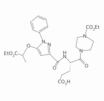 CCOC(=O)C(C)Oc1cc(C(=O)N[C@@H](CCC(=O)O)C(=O)N2CCN(C(=O)OCC)CC2)nn1-c1ccccc1